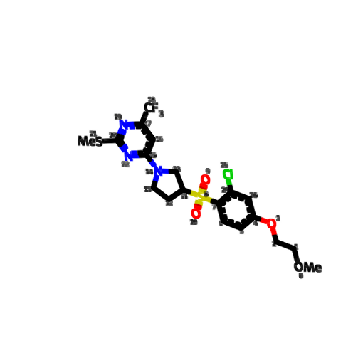 COCCOc1ccc(S(=O)(=O)C2CCN(c3cc(C(F)(F)F)nc(SC)n3)C2)c(Cl)c1